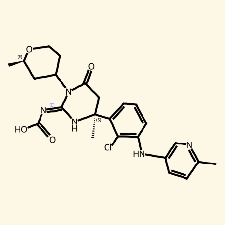 Cc1ccc(Nc2cccc([C@]3(C)CC(=O)N(C4CCO[C@H](C)C4)/C(=N/C(=O)O)N3)c2Cl)cn1